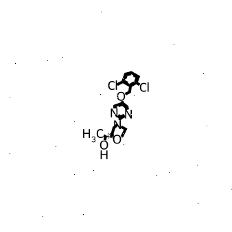 CC(O)[C@@H]1CN(c2ncc(OCc3c(Cl)cccc3Cl)cn2)CCO1